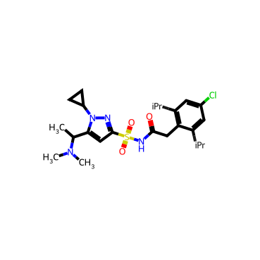 CC(C)c1cc(Cl)cc(C(C)C)c1CC(=O)NS(=O)(=O)c1cc(C(C)N(C)C)n(C2CC2)n1